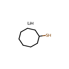 SC1CCCCCCC1.[LiH]